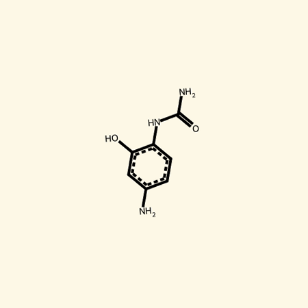 NC(=O)Nc1ccc(N)cc1O